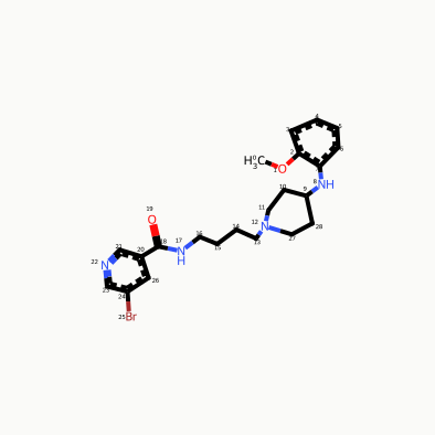 COc1ccccc1NC1CCN(CCCCNC(=O)c2cncc(Br)c2)CC1